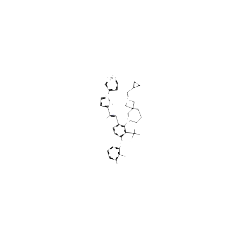 F/C(=C\c1ccc(Oc2cccc(F)c2F)c(C(F)(F)F)c1N1CCCC2(CN(CC3CC3)C2)C1)c1ccn(-c2ccnnc2)n1